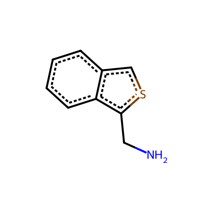 NCc1scc2ccccc12